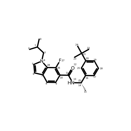 CC(C)Cn1ccc2ccc(C(=O)N[C@@H](C)c3cccc(C(C)(C)C)c3)c(F)c21